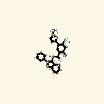 Cn1ccc(-c2cc(C(=O)Nc3c4ncccc4nn3-c3ccccc3)c(F)cc2C(F)(F)F)n1